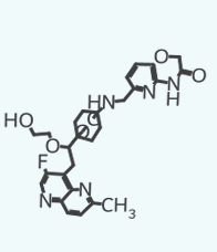 Cc1ccc2ncc(F)c(CC(OCCO)C34CCC(NCc5ccc6c(n5)NC(=O)CO6)(CC3)CO4)c2n1